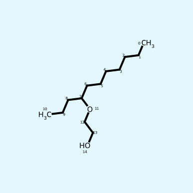 CCCCCCCC(CCC)OCCO